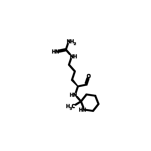 CC1(N[C@H](C=O)CCCNC(=N)N)CCCCN1